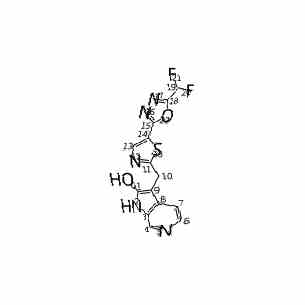 Oc1[nH]c2cnccc2c1Cc1ncc(-c2nnc(C(F)F)o2)s1